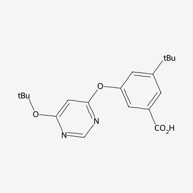 CC(C)(C)Oc1cc(Oc2cc(C(=O)O)cc(C(C)(C)C)c2)ncn1